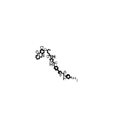 CCC(CCC(=O)Nc1cc(C(=O)Nc2ccc(-c3cc(C(=O)Nc4ccc(N)cc4)n(C)c3)cc2)n(C)c1)Oc1cc2c(cc1OC)C(=O)N1CCCCC1C=N2